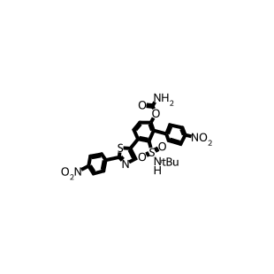 CC(C)(C)NS(=O)(=O)c1c(-c2cnc(-c3ccc([N+](=O)[O-])cc3)s2)ccc(OC(N)=O)c1-c1ccc([N+](=O)[O-])cc1